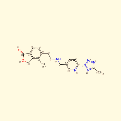 Cc1nnn(-c2ccc(CNCCc3ccc4c(c3C)COC4=O)cn2)n1